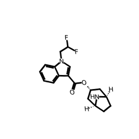 O=C(O[C@@H]1C[C@H]2CC[C@@H](C1)N2)c1cn(CC(F)F)c2ccccc12